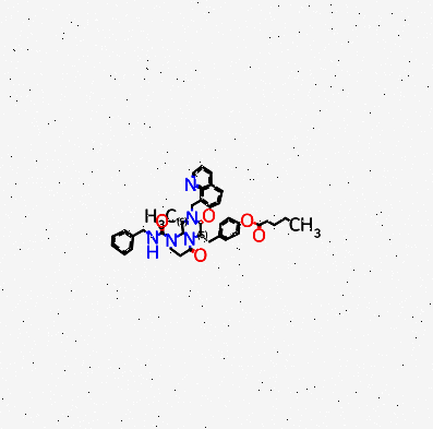 CCCCC(=O)Oc1ccc(C[C@H]2C(=O)N(Cc3cccc4cccnc34)[C@@H](C)C3N(C(=O)NCc4ccccc4)CCC(=O)N32)cc1